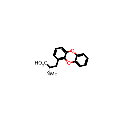 CN[C@@H](Cc1cccc2c1Oc1ccccc1O2)C(=O)O